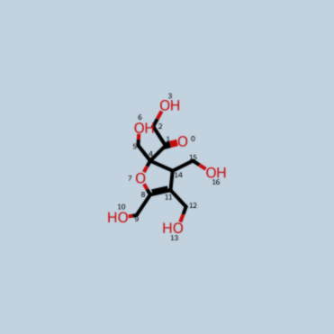 O=C(CO)C1(CO)OC(CO)=C(CO)C1CO